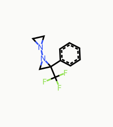 FC(F)(F)C1(c2ccccc2)CN1N1CC1